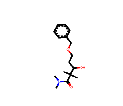 CN(C)C(=O)C(C)(C)C(O)CCOCc1ccccc1